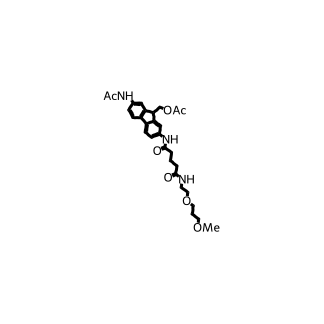 COCCCOCCNC(=O)CCCC(=O)Nc1ccc2c(c1)C(COC(C)=O)c1cc(NC(C)=O)ccc1-2